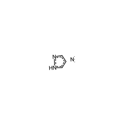 [N].c1cn[nH]c1